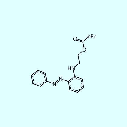 CCCC(=O)OCCNc1ccccc1N=Nc1ccccc1